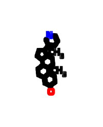 C[C@]12CCC3C(CCC4=CC(=O)CC[C@@]43C)C1CCC2c1cccnc1